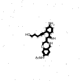 CC(=O)Nc1ccc2c(c1)OC/C(=C/C(=N)c1ccc(N)cc1C#CCCCO)NC2